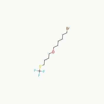 FC(F)(F)SCCCCOCCCCCCBr